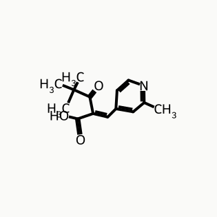 Cc1cc(/C=C(/C(=O)O)C(=O)C(C)(C)C)ccn1